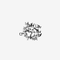 [2H]C([2H])(C(C)C)C(N(C([2H])([2H])[2H])C([2H])([2H])[2H])C1(c2ccc(Cl)cc2)C([2H])([2H])C([2H])([2H])C1([2H])[2H]